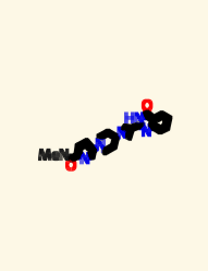 CNC(=O)c1ccc(N2CCC(N3CC(c4nc5ccccc5c(=O)[nH]4)C3)CC2)cn1